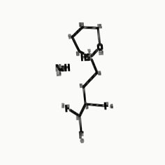 FC(F)C(F)CC[SiH]1CCCCO1.[NaH]